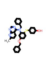 Cc1ccc2c(N(Cc3ccccc3)c3cc(OCc4ccccc4)ccc3Sc3ccc(O)cc3)ncnc2n1